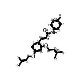 CC(C)=CCOc1ccc(/C=C/C(=O)Nc2ccc(C)cc2)c(OCC=C(C)C)c1